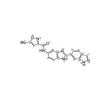 CC(C)(C)c1cc(C(=O)Nc2ccc3[nH]c(-c4ccc5cn[nH]c5c4)nc3c2)no1